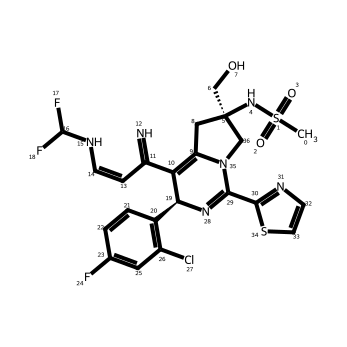 CS(=O)(=O)N[C@]1(CO)CC2=C(C(=N)/C=C\NC(F)F)[C@H](c3ccc(F)cc3Cl)N=C(c3nccs3)N2C1